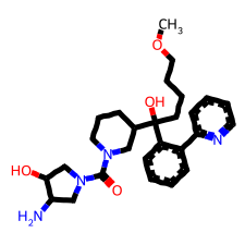 COCCCCC(O)(c1ccccc1-c1ccccn1)C1CCCN(C(=O)N2CC(N)C(O)C2)C1